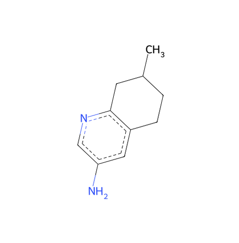 CC1CCc2cc(N)cnc2C1